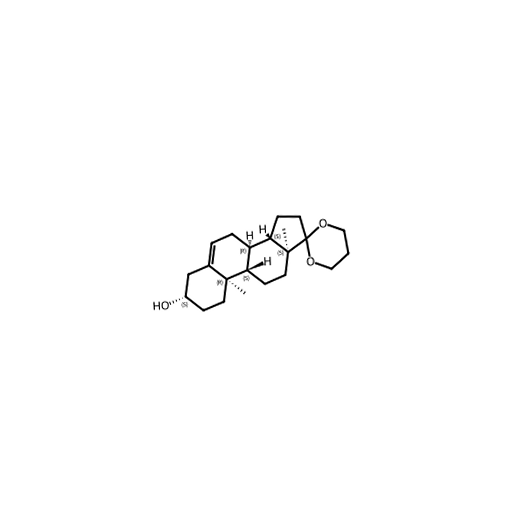 C[C@]12CC[C@H](O)CC1=CC[C@@H]1[C@@H]2CC[C@@]2(C)[C@H]1CCC21OCCCO1